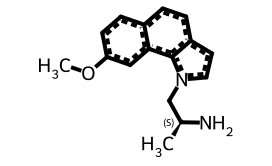 COc1ccc2ccc3ccn(C[C@H](C)N)c3c2c1